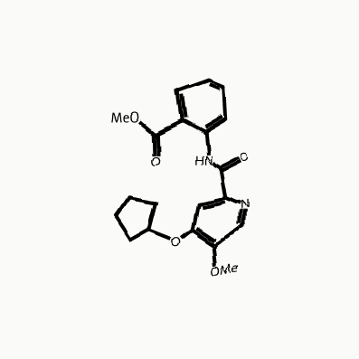 COC(=O)c1ccccc1NC(=O)c1cc(OC2CCCC2)c(OC)cn1